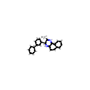 Cc1nc2c(ccc3ccccc32)nc1-c1cccc(-c2ccccc2)c1